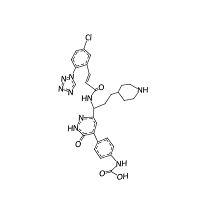 O=C(O)Nc1ccc(-c2cc(C(CCC3CCNCC3)NC(=O)C=Cc3cc(Cl)ccc3-n3cnnn3)n[nH]c2=O)cc1